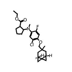 CCOC(=O)C1CCCC1N(C)c1cc(Cl)c(OCC2(C)C[C@@H]3CC34C[C@@H]4C2)cc1F